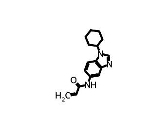 C=CC(=O)Nc1ccc2c(c1)ncn2C1CCCCC1